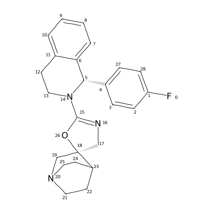 Fc1ccc([C@H]2c3ccccc3CCN2C2=NC[C@]3(CN4CCC3CC4)O2)cc1